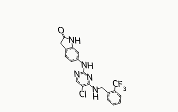 O=C1Cc2ccc(Nc3ncc(Cl)c(NCc4ccccc4C(F)(F)F)n3)cc2N1